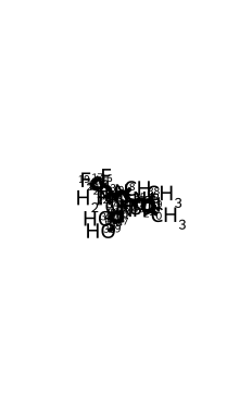 Cc1cc2sc(-c3c(C)nc(N(N)Cc4c(F)cc(F)cc4F)nc3N[C@@H]3C[C@H](CO)[C@@H](O)[C@H]3O)nc2c(C)n1